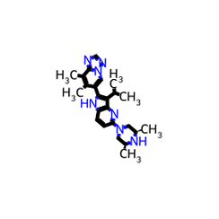 Cc1c(-c2[nH]c3ccc(N4C[C@H](C)N[C@@H](C)C4)nc3c2C(C)C)cn2ncnc2c1C